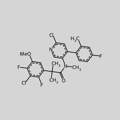 COc1cc(C(C)(C)C(=O)N(C)c2cnc(Cl)cc2-c2ccc(F)cc2C)c(F)c(Cl)c1F